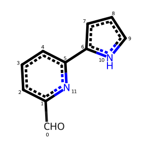 O=Cc1cccc(-c2ccc[nH]2)n1